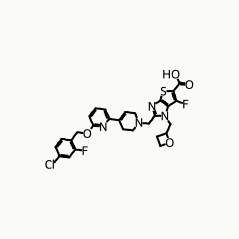 O=C(O)c1sc2nc(CN3CC=C(c4cccc(OCc5ccc(Cl)cc5F)n4)CC3)n(CC3CCO3)c2c1F